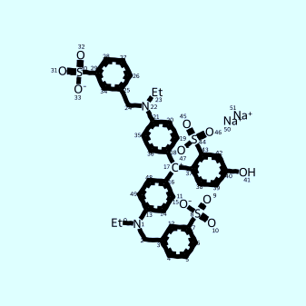 CCN(Cc1cccc(S(=O)(=O)[O-])c1)c1ccc([C+](c2ccc(N(CC)Cc3cccc(S(=O)(=O)[O-])c3)cc2)c2ccc(O)cc2S(=O)(=O)[O-])cc1.[Na+].[Na+]